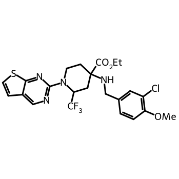 CCOC(=O)C1(NCc2ccc(OC)c(Cl)c2)CCN(c2ncc3ccsc3n2)C(C(F)(F)F)C1